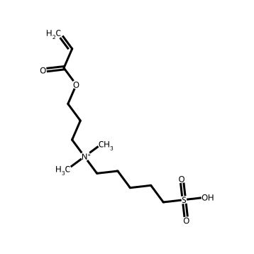 C=CC(=O)OCCC[N+](C)(C)CCCCCS(=O)(=O)O